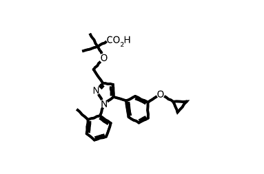 Cc1ccccc1-n1nc(COC(C)(C)C(=O)O)cc1-c1cccc(OC2CC2)c1